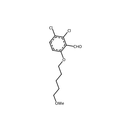 COCCCCCOc1ccc(Cl)c(Cl)c1C=O